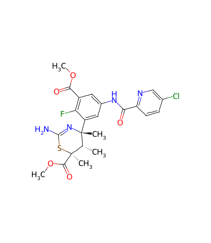 COC(=O)c1cc(NC(=O)c2ccc(Cl)cn2)cc([C@@]2(C)N=C(N)S[C@](C)(C(=O)OC)[C@H]2C)c1F